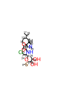 CSC1O[C@H]([C@H](NC(=O)[C@@H]2[C@@H]3OCC[C@@H](C(C)C)C[C@H]3CN2C)[C@H](C)Cl)CC(O)[C@H]1O